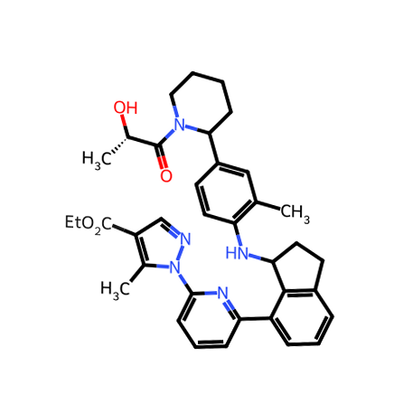 CCOC(=O)c1cnn(-c2cccc(-c3cccc4c3C(Nc3ccc(C5CCCCN5C(=O)[C@H](C)O)cc3C)CC4)n2)c1C